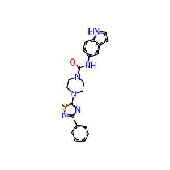 O=C(Nc1ccc2[nH]ccc2c1)N1CCN(c2nc(-c3ccccc3)ns2)CC1